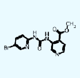 COC(=O)c1ccncc1NC(=O)Nc1ccc(Br)cn1